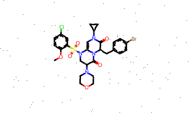 COc1ccc(Cl)cc1S(=O)(=O)N1CC(N2CCOCC2)C(=O)N2C1=CN(C1CC1)C(=O)C2Cc1ccc(Br)cc1